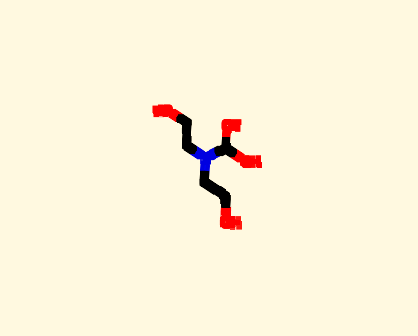 OCCN(CCO)C(O)O